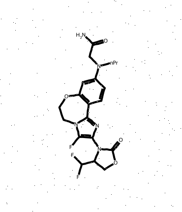 CCCN(CC(N)=O)c1ccc2c(c1)OCCn1c-2nc(N2C(=O)OCC2C(F)F)c1F